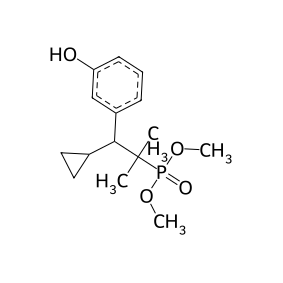 COP(=O)(OC)C(C)(C)C(c1cccc(O)c1)C1CC1